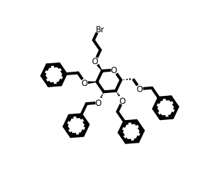 BrCCO[C@H]1O[C@H](COCc2ccccc2)[C@H](OCc2ccccc2)[C@H](OCc2ccccc2)[C@H]1OCc1ccccc1